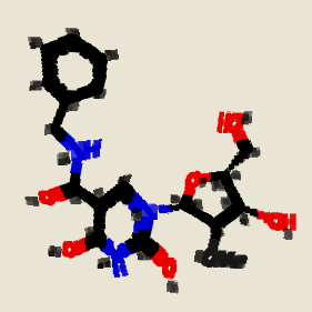 COC1[C@@H](O)[C@@H](CO)O[C@H]1n1cc(C(=O)NCc2ccccc2)c(=O)[nH]c1=O